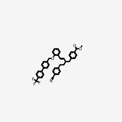 COC(=O)c1ccc(CC(/C=C/c2ccccc2OCc2ccc(-c3ccc(C(F)(F)F)cc3)cc2)CCc2ccc(C#N)cc2)cc1